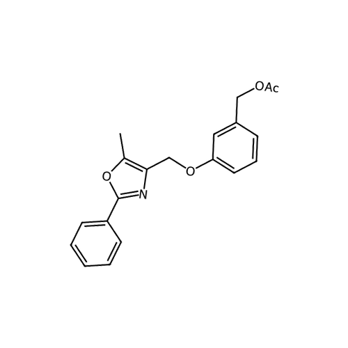 CC(=O)OCc1cccc(OCc2nc(-c3ccccc3)oc2C)c1